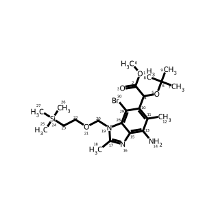 COC(=O)C(OC(C)(C)C)c1c(C)c(N)c2nc(C)n(COCC[Si](C)(C)C)c2c1Br